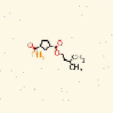 CC(C)CCOC(=O)C1CCC(C(=O)P)C1